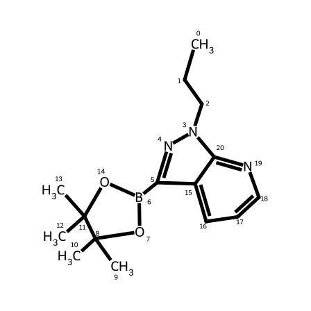 CCCn1nc(B2OC(C)(C)C(C)(C)O2)c2cccnc21